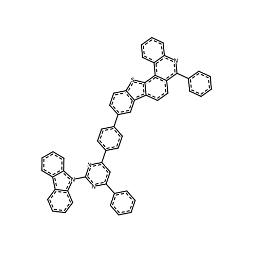 c1ccc(-c2cc(-c3ccc(-c4ccc5sc6c(ccc7c(-c8ccccc8)nc8ccccc8c76)c5c4)cc3)nc(-n3c4ccccc4c4ccccc43)n2)cc1